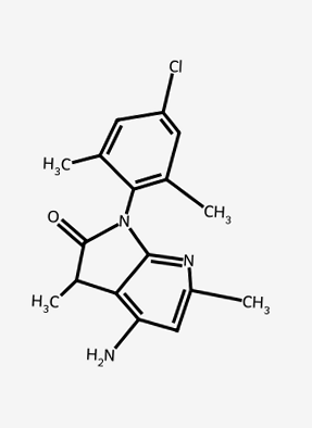 Cc1cc(N)c2c(n1)N(c1c(C)cc(Cl)cc1C)C(=O)C2C